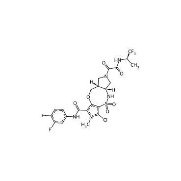 C[C@@H](NC(=O)C(=O)N1C[C@H]2COc3c(c(Cl)n(C)c3C(=O)Nc3ccc(F)c(F)c3)S(=O)(=O)N[C@H]2C1)C(F)(F)F